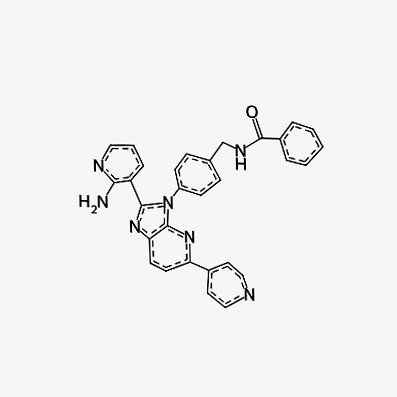 Nc1ncccc1-c1nc2ccc(-c3ccncc3)nc2n1-c1ccc(CNC(=O)c2ccccc2)cc1